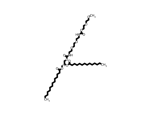 CCCCCCCCCCCCCC(=O)OC[C@H](COC(=O)NCCOCCOCCNC(=O)OCCOCCOC)OC(=O)CCCCCCCCCCCCC